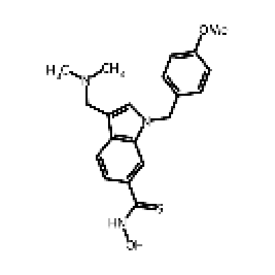 COc1ccc(Cn2cc(CN(C)C)c3ccc(C(=S)NO)cc32)cc1